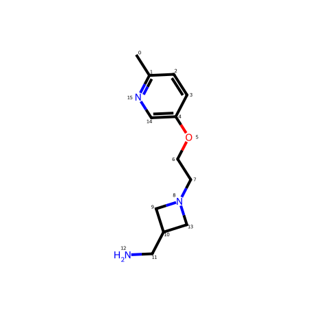 Cc1ccc(OCCN2CC(CN)C2)cn1